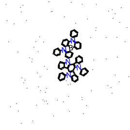 c1ccc(N2c3ccccc3B3c4ccc(-n5c6ccccc6c6c7c(c8ccccc8n7-c7ccccc7)c7c(c8ccccc8n7-c7ccccc7)c65)cc4N(c4ccccc4)c4cccc2c43)cc1